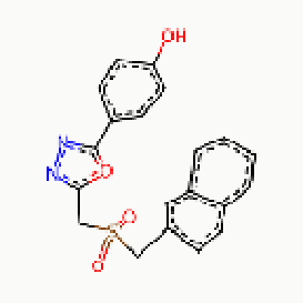 O=S(=O)(Cc1ccc2ccccc2c1)Cc1nnc(-c2ccc(O)cc2)o1